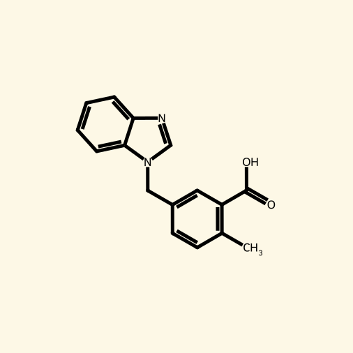 Cc1ccc(Cn2cnc3ccccc32)cc1C(=O)O